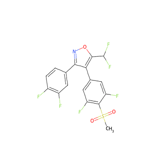 CS(=O)(=O)c1c(F)cc(-c2c(-c3ccc(F)c(F)c3)noc2C(F)F)cc1F